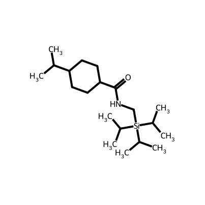 CC(C)C1CCC(C(=O)NC[Si](C(C)C)(C(C)C)C(C)C)CC1